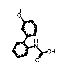 COc1cccc(-c2ccccc2NC(=O)O)c1